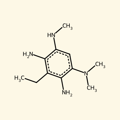 CCc1c(N)c(NC)cc(N(C)C)c1N